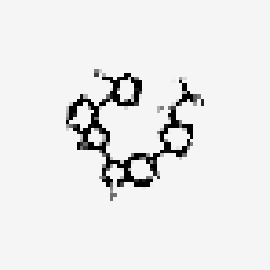 CC(C)C(=O)Nc1cncc(-c2cc3c(-c4cc5c(-c6ccccc6F)ccnc5[nH]4)n[nH]c3cn2)c1